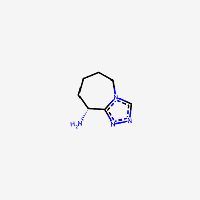 N[C@@H]1CCCCn2cnnc21